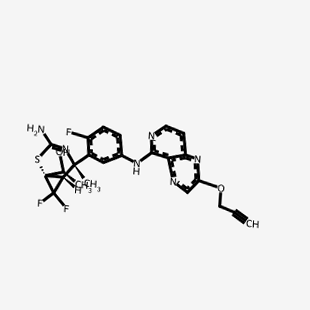 C#CCOc1cnc2c(Nc3ccc(F)c([C@@]4(C)N=C(N)S[C@]5([C@H](C)O)[C@H]4C5(F)F)c3)nccc2n1